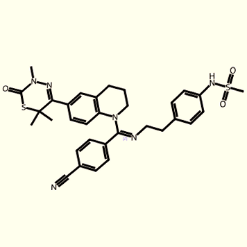 CN1N=C(c2ccc3c(c2)CCCN3/C(=N\CCc2ccc(NS(C)(=O)=O)cc2)c2ccc(C#N)cc2)C(C)(C)SC1=O